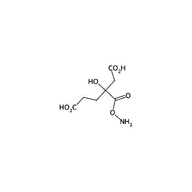 NOC(=O)C(O)(CCC(=O)O)CC(=O)O